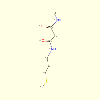 CNC(=O)CC(=O)NCCCSC